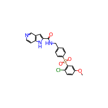 COc1ccc(Cl)c(S(=O)(=O)c2ccc(CNC(=O)c3cc4cnccc4[nH]3)cc2)c1